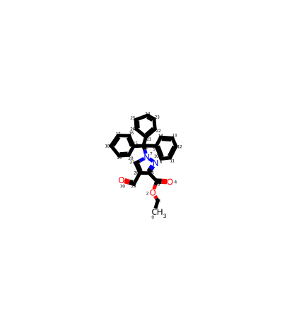 CCOC(=O)c1nn(C(c2ccccc2)(c2ccccc2)c2ccccc2)cc1C=O